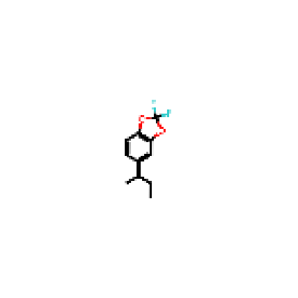 CCC(C)c1ccc2c(c1)OC(F)(F)O2